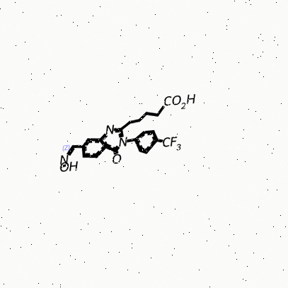 O=C(O)CCCCc1nc2cc(/C=N\O)ccc2c(=O)n1-c1ccc(C(F)(F)F)cc1